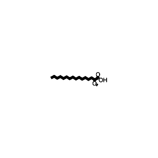 CCCCCCCCCCCCCCC(OC)C(=O)O